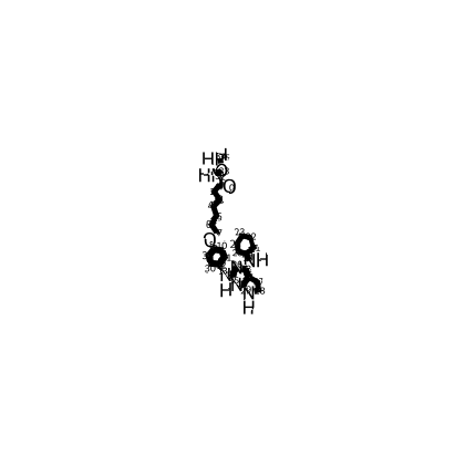 O=C(CCCCCCOc1ccc(Nc2nc3c(c(NC4CCCCC4)n2)CCN3)cc1)NOPI